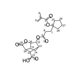 C=C(C)C(=O)OC1(CCC(=O)OC2C3CC4C2OC(=O)C4C3C(=O)O)CCCC1